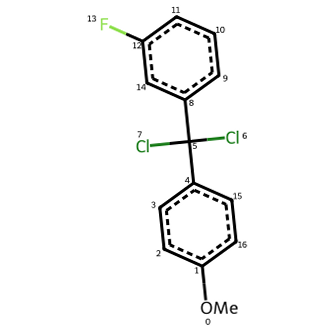 COc1ccc(C(Cl)(Cl)c2cccc(F)c2)cc1